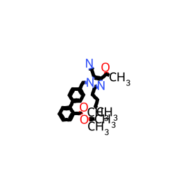 CCCCc1nc(C(C)=O)c(C#N)n1Cc1ccc(-c2ccccc2C(=O)OC(C)(C)C)cc1